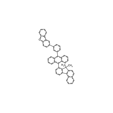 CC1(C)c2ccc3ccccc3c2-c2cccc(-c3c4ccccc4c(-c4cccc(-c5ccc6oc7ccccc7c6c5)c4)c4ccccc34)c21